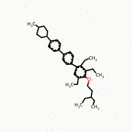 CCc1cc(-c2ccc(-c3ccc(C4CCC(C)CC4)cc3)cc2)c(CC)c(CC)c1OCCC(CC)CC